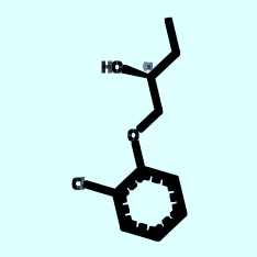 CC[C@H](O)COc1ccccc1Cl